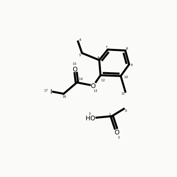 CC(=O)O.CCc1cccc(C)c1OC(=O)CI